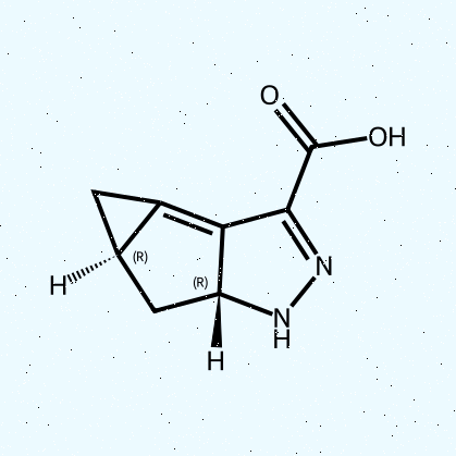 O=C(O)C1=NN[C@@H]2C[C@H]3CC3=C12